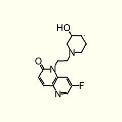 O=c1ccc2ncc(F)cc2n1CCN1CC[CH][C@H](O)C1